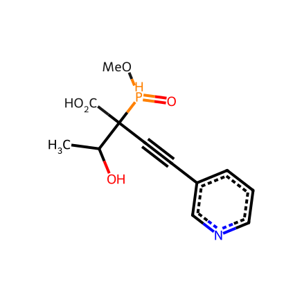 CO[PH](=O)C(C#Cc1cccnc1)(C(=O)O)C(C)O